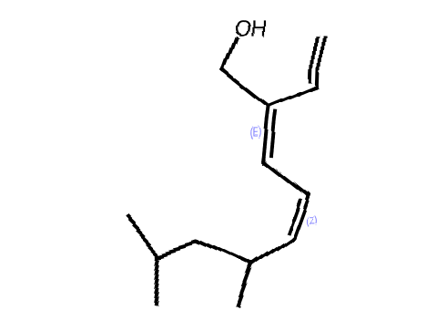 C=C/C(=C\C=C/C(C)CC(C)C)CO